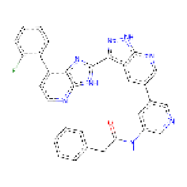 O=C(Cc1ccccc1)Nc1cncc(-c2cnc3[nH]nc(-c4nc5c(-c6ccccc6F)ccnc5[nH]4)c3c2)c1